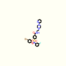 O=C(NCCN1CCN(c2ccccn2)CC1)c1ccc(S(=O)(=O)N(Oc2ccc(Br)cc2)c2cccc(F)c2)cc1